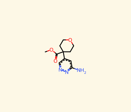 COC(=O)C1(c2cnnc(N)c2)CCOCC1